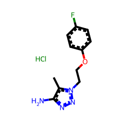 Cc1c(N)nnn1CCOc1ccc(F)cc1.Cl